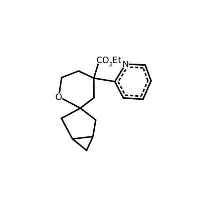 CCOC(=O)C1(c2ccccn2)CCOC2(CC3CC3C2)C1